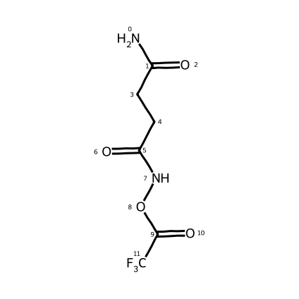 NC(=O)CCC(=O)NOC(=O)C(F)(F)F